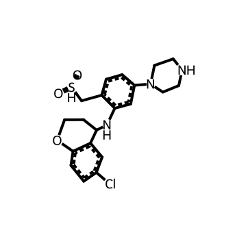 O=[SH](=O)Cc1ccc(N2CCNCC2)cc1NC1CCOc2ccc(Cl)cc21